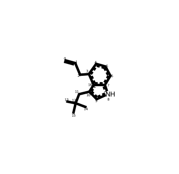 C=CCc1cccc2[nH]cc(CC(C)(C)C)c12